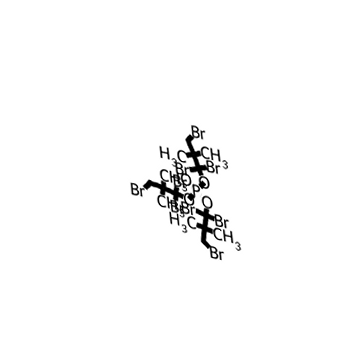 CC(C)(CBr)C(Br)(Br)OP(=O)(OC(Br)(Br)C(C)(C)CBr)OC(Br)(Br)C(C)(C)CBr